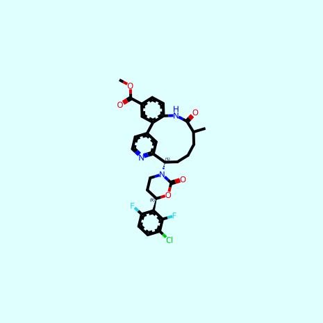 COC(=O)c1ccc2c(c1)-c1ccnc(c1)[C@@H](N1CC[C@H](c3c(F)ccc(Cl)c3F)OC1=O)CCCC(C)C(=O)N2